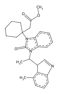 COC(=O)CC1(n2c(=O)n(C(C)C3C=Nc4cccc(C)c43)c3ccccc32)CCCCC1